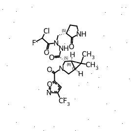 CC1(C)[C@@H]2[C@@H](C(=O)NN(C[C@@H]3CCNC3=O)C(=O)C(F)Cl)N(C(=O)c3cc(C(F)(F)F)no3)C[C@@H]21